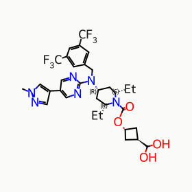 CC[C@@H]1C[C@H](N(Cc2cc(C(F)(F)F)cc(C(F)(F)F)c2)c2ncc(-c3cnn(C)c3)cn2)C[C@H](CC)N1C(=O)O[C@H]1C[C@H](C(O)O)C1